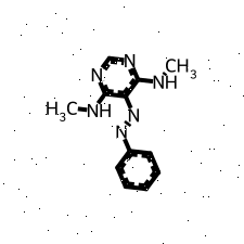 CNc1ncnc(NC)c1N=Nc1ccccc1